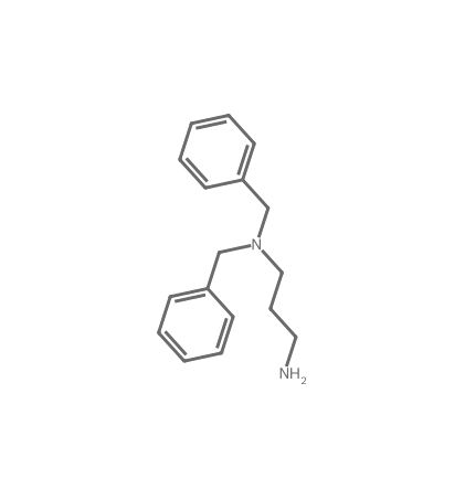 NCCCN(Cc1ccccc1)Cc1ccccc1